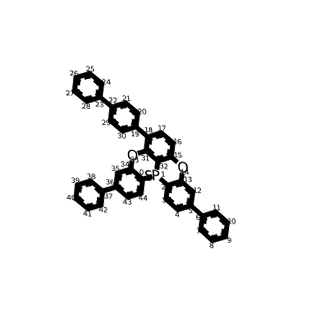 S=P12c3ccc(-c4ccccc4)cc3Oc3ccc(-c4ccc(-c5ccccc5)cc4)c(c31)Oc1cc(-c3ccccc3)ccc12